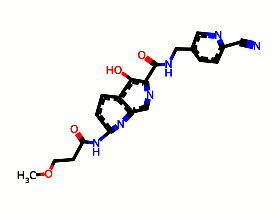 COCCC(=O)Nc1ccc2c(O)c(C(=O)NCc3ccc(C#N)nc3)ncc2n1